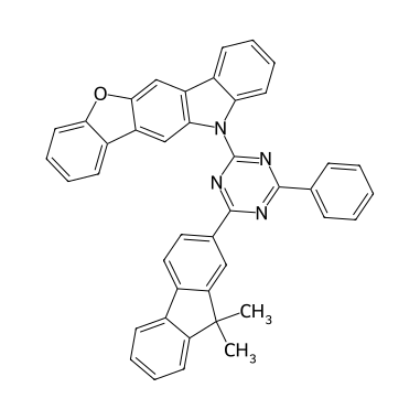 CC1(C)c2ccccc2-c2ccc(-c3nc(-c4ccccc4)nc(-n4c5ccccc5c5cc6oc7ccccc7c6cc54)n3)cc21